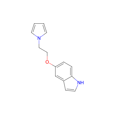 c1ccn(CCOc2ccc3[nH]ccc3c2)c1